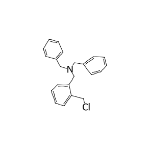 ClCc1ccccc1CN(Cc1ccccc1)Cc1ccccc1